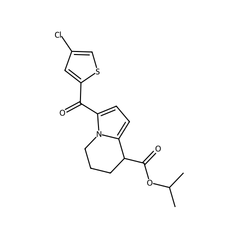 CC(C)OC(=O)C1CCCn2c(C(=O)c3cc(Cl)cs3)ccc21